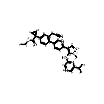 CCOC(=O)C1(c2ccc(-c3ccc(-c4cnn(C)c4Nc4cncc(C(C)C)n4)nc3)c(CC#N)c2)CC1